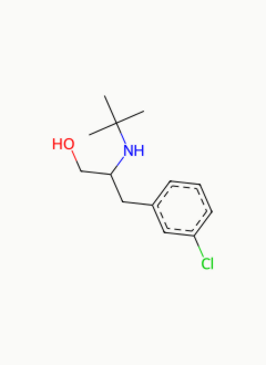 CC(C)(C)NC(CO)Cc1cccc(Cl)c1